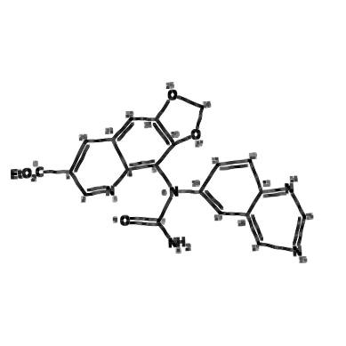 CCOC(=O)c1cnc2c(N(C(N)=O)c3ccc4ncncc4c3)c3c(cc2c1)OCO3